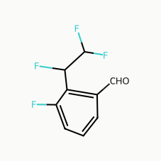 O=Cc1cccc(F)c1C(F)C(F)F